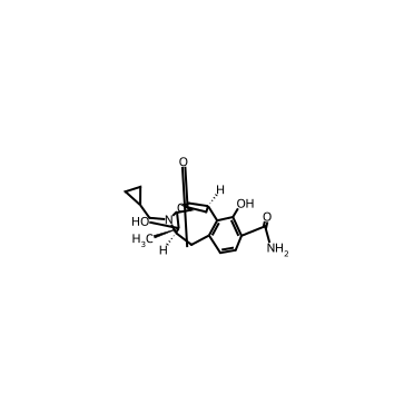 C[C@@]1(O)CCC(=O)C[C@H]2CCN(CC3CC3)[C@@H]1Cc1ccc(C(N)=O)c(O)c12